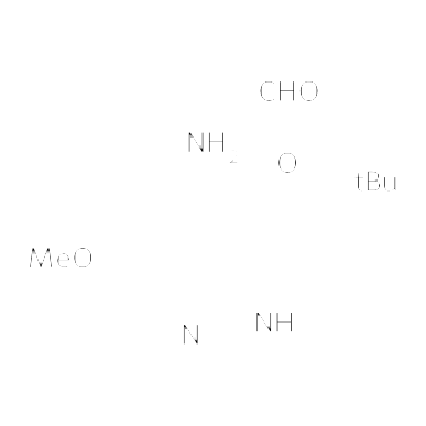 CC(C)(C)OC=O.COc1n[nH]cc1N